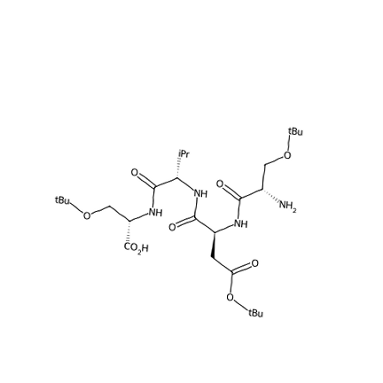 CC(C)[C@H](NC(=O)[C@H](CC(=O)OC(C)(C)C)NC(=O)[C@@H](N)COC(C)(C)C)C(=O)N[C@@H](COC(C)(C)C)C(=O)O